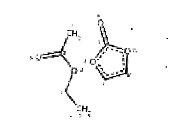 CCOC(C)=O.O=c1occo1